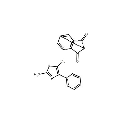 CCc1sc(N)nc1-c1ccccc1.O=C1c2cc3ccc2c(=O)n31